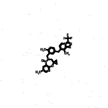 Cc1cnc2c(c1)[S+]([O-])N(Cc1cc(Cc3ccn4c(C(F)(F)F)nnc4c3C)ccc1C)CC1(CC1)O2